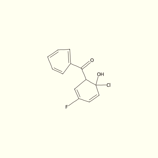 O=C(c1ccccc1)C1C=C(F)C=CC1(O)Cl